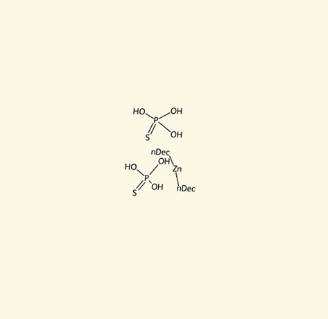 CCCCCCCCC[CH2][Zn][CH2]CCCCCCCCC.OP(O)(O)=S.OP(O)(O)=S